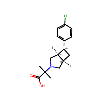 CC(C)(C(=O)O)N1C[C@@H]2C[C@@H](c3ccc(Cl)cc3)[C@@H]2C1